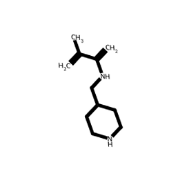 C=C(C)C(=C)NCC1CCNCC1